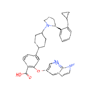 O=C(O)c1ccc(C2CCC(N3CCC[C@H]3c3ccccc3C3CC3)CC2)cc1Oc1cnc2[nH]ccc2c1